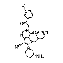 COc1cccc(C(=O)Cn2cnc3c(C#N)c(N4CCC[C@H](N)C4)n(Cc4ccccc4)c3c2=O)c1.Cl